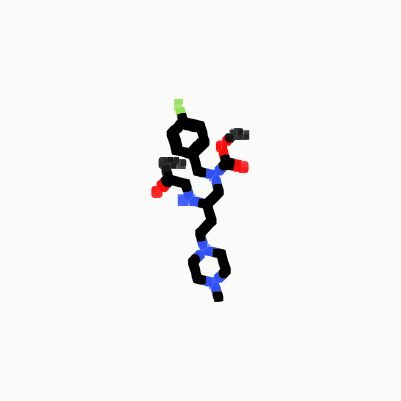 COC(=O)CNC(CCN1CCN(C)CC1)CN(Cc1ccc(F)cc1)C(=O)OC(C)(C)C